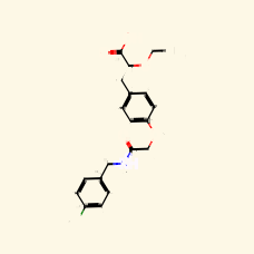 CCO[C@@H](Cc1ccc(O[C@H](C)C(=O)NCc2ccc(F)cc2)cc1)C(=O)O